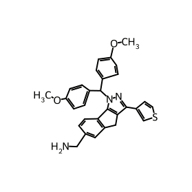 COc1ccc(C(c2ccc(OC)cc2)n2nc(-c3ccsc3)c3c2-c2ccc(CN)cc2C3)cc1